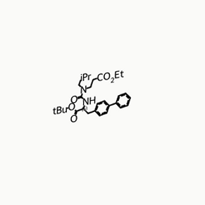 CCOC(=O)CCN(CC(C)C)C(=O)N[C@@H](Cc1ccc(-c2ccccc2)cc1)C(=O)OC(C)(C)C